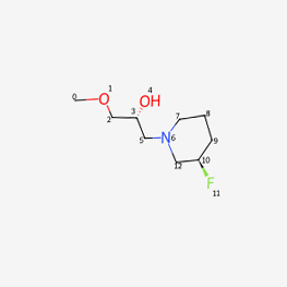 COC[C@H](O)CN1CCC[C@@H](F)C1